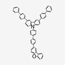 c1ccc(-c2ccc(-c3ccc4c(c3)c3cc(-c5ccc(-c6ccccc6)cc5)ccc3n4-c3ccc(-c4ccc(-c5ccc6oc7ccccc7c6c5)cc4)cc3)cc2)cc1